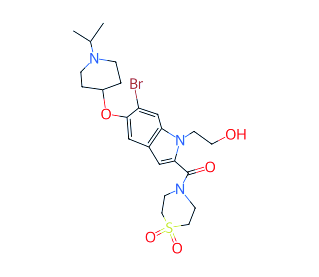 CC(C)N1CCC(Oc2cc3cc(C(=O)N4CCS(=O)(=O)CC4)n(CCO)c3cc2Br)CC1